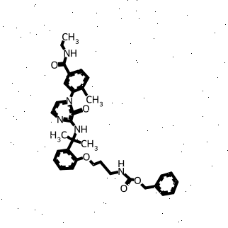 CCNC(=O)c1ccc(C)c(-n2ccnc(NC(C)(C)c3ccccc3OCCCNC(=O)OCc3ccccc3)c2=O)c1